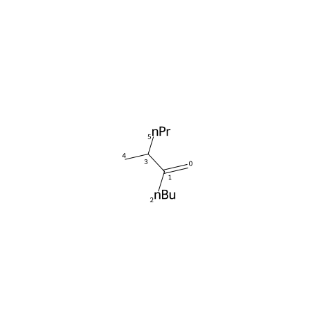 C=C(CCCC)C(C)CCC